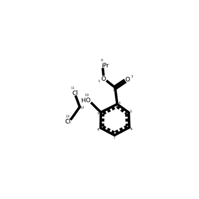 CC(C)OC(=O)c1ccccc1O.ClCCl